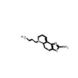 CCCCN1CCC=C2c3nc(N)sc3CCC21